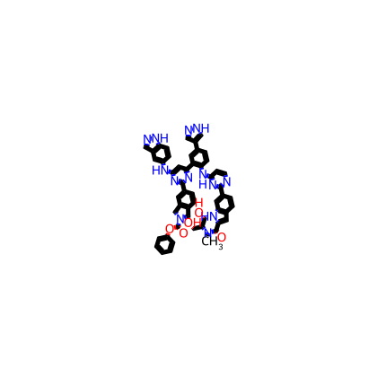 CN(C(=O)c1cc2ccc(-c3nccc(Nc4ccc(-c5cn[nH]c5)cc4-c4cc(Nc5ccc6[nH]ncc6c5)nc(-c5ccc6c(c5)CN(C(=O)Oc5ccccc5)C6)n4)n3)cc2[nH]1)C(CO)CO